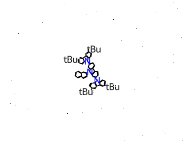 CC(C)(C)c1c#cc2c(c1)c1cc(C(C)(C)C)ccc1n2-c1ccc2c3ccc(-n4c5ccc(C(C)(C)C)cc5c5cc(C(C)(C)C)ccc54)cc3n(-c3ccc4ccccc4c3)c2c1